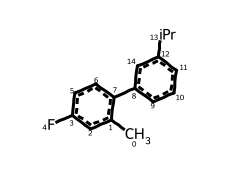 Cc1cc(F)ccc1-c1cccc(C(C)C)c1